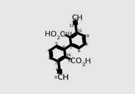 C#Cc1cccc(-c2cccc(C#C)c2C(=O)O)c1C(=O)O